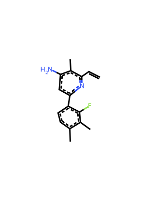 C=Cc1nc(-c2ccc(C)c(C)c2F)cc(N)c1C